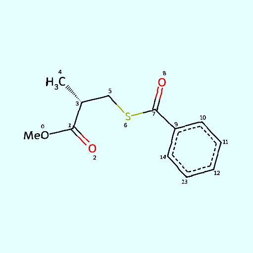 COC(=O)[C@H](C)CSC(=O)c1ccccc1